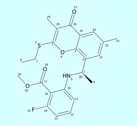 CCSc1oc2c([C@@H](C)Nc3cccc(F)c3C(=O)OC)cc(C)cc2c(=O)c1C